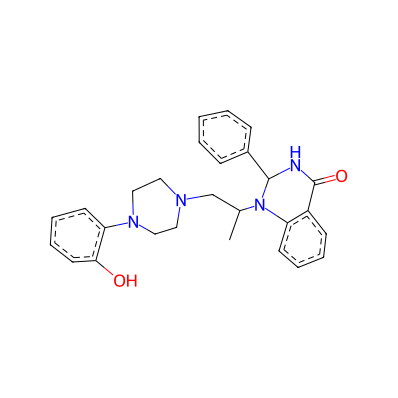 CC(CN1CCN(c2ccccc2O)CC1)N1c2ccccc2C(=O)NC1c1ccccc1